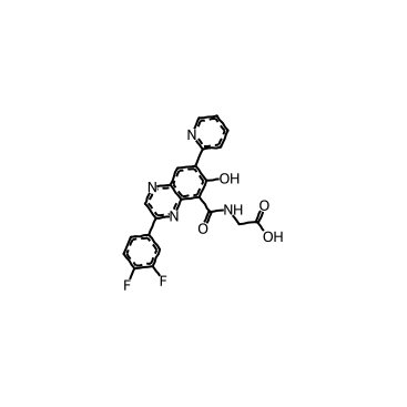 O=C(O)CNC(=O)c1c(O)c(-c2ccccn2)cc2ncc(-c3ccc(F)c(F)c3)nc12